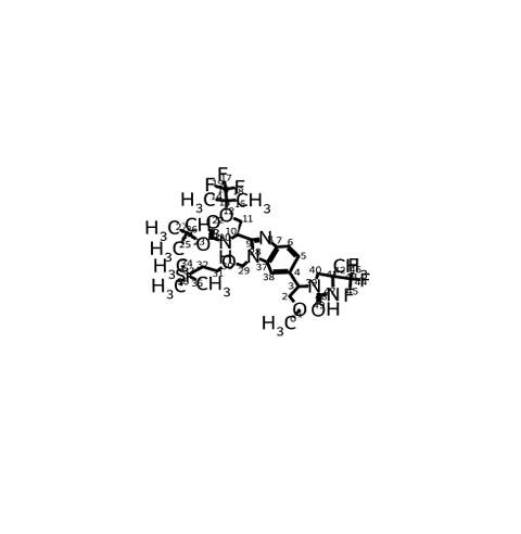 COCC(c1ccc2nc([C@H](COC(C)(C)C(F)(F)F)NC(=O)OC(C)(C)C)n(COCC[Si](C)(C)C)c2c1)N1C[C@@](C)(C(F)(F)F)NC1=O